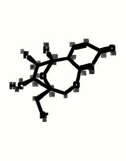 C[C@H]1[C@@H](F)[C@H]2O[C@]1(CBr)COC1=NC(=O)C=CC12